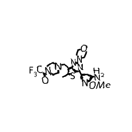 COc1ncc(-c2nc(N3CCOCC3)nc3c(CN4CCN(C(=O)C(F)(F)F)CC4)c(C)sc23)cc1N